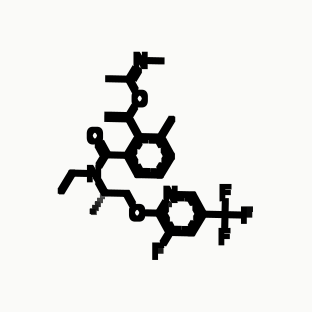 C=C(O/C(C)=N\C)c1c(C)cccc1C(=O)N(CC)[C@@H](C)COc1ncc(C(F)(F)F)cc1F